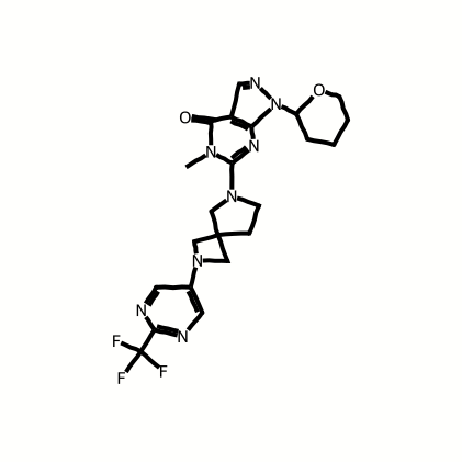 Cn1c(N2CCC3(CN(c4cnc(C(F)(F)F)nc4)C3)C2)nc2c(cnn2C2CCCCO2)c1=O